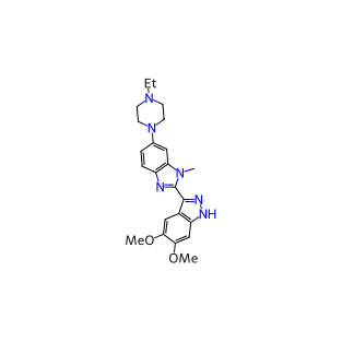 CCN1CCN(c2ccc3nc(-c4n[nH]c5cc(OC)c(OC)cc45)n(C)c3c2)CC1